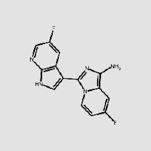 Nc1nc(-c2c[nH]c3ncc(F)cc23)n2ccc(F)cc12